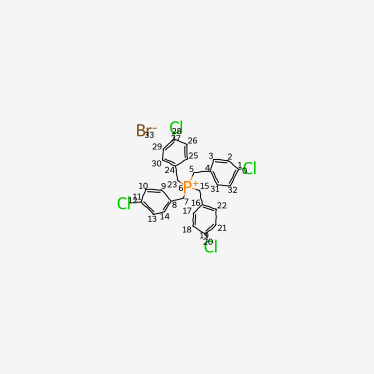 Clc1ccc(C[P+](Cc2ccc(Cl)cc2)(Cc2ccc(Cl)cc2)Cc2ccc(Cl)cc2)cc1.[Br-]